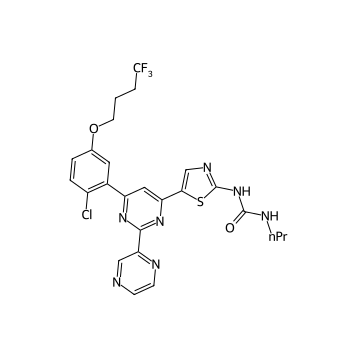 CCCNC(=O)Nc1ncc(-c2cc(-c3cc(OCCCC(F)(F)F)ccc3Cl)nc(-c3cnccn3)n2)s1